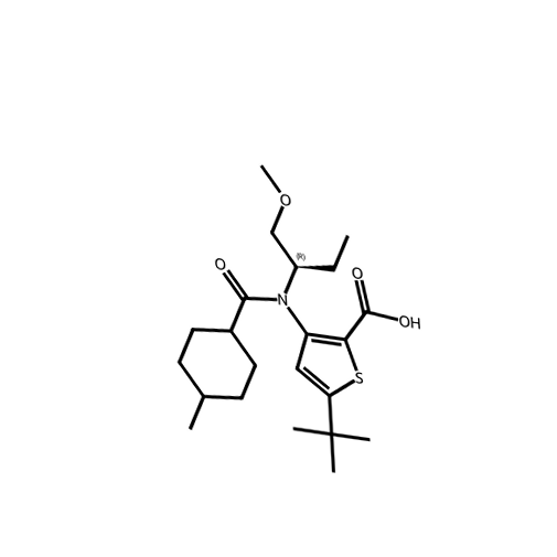 CC[C@H](COC)N(C(=O)C1CCC(C)CC1)c1cc(C(C)(C)C)sc1C(=O)O